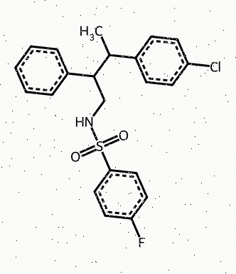 CC(c1ccc(Cl)cc1)C(CNS(=O)(=O)c1ccc(F)cc1)c1ccccc1